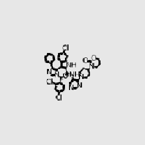 C[C@@H](c1ccc(Cl)cc1Cl)n1cnc(-c2ccccc2)c1-c1c(C(=O)Nc2cncnc2N2CCC(N3CCCOC3=O)CC2)[nH]c2cc(Cl)ccc12